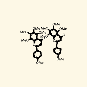 COc1ccc(-c2cc(=O)c3c(OC)c(OC)c(OC)c(OC)c3o2)cc1.COc1ccc(-c2cc(=O)c3c(OC)c(OC)c(OC)c(OC)c3o2)cc1